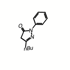 CCCCC1=NN(c2ccccc2)C(=O)C1